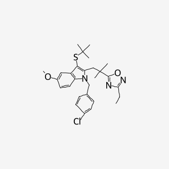 CCc1noc(C(C)(C)Cc2c(SC(C)(C)C)c3cc(OC)ccc3n2Cc2ccc(Cl)cc2)n1